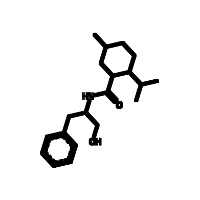 CC1CCC(C(C)C)C(C(=O)NC(CO)Cc2ccccc2)C1